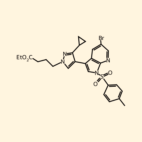 CCOC(=O)CCCn1cc(-c2cn(S(=O)(=O)c3ccc(C)cc3)c3ncc(Br)cc23)c(C2CC2)n1